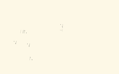 CN(C)c1nc(N[C@H]2CC[C@@H](CNCCc3ccc(-c4ccccc4)cc3)CC2)nc2ccccc12